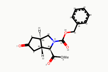 COC(=O)[C@H]1[C@@H]2CC(=O)C[C@H]2CN1C(=O)OCc1ccccc1